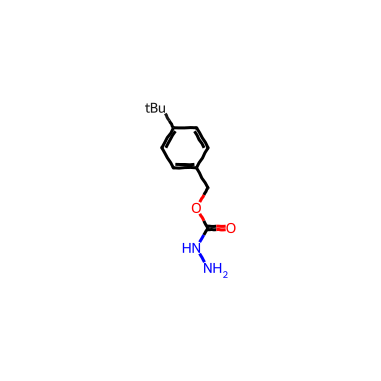 CC(C)(C)c1ccc(COC(=O)NN)cc1